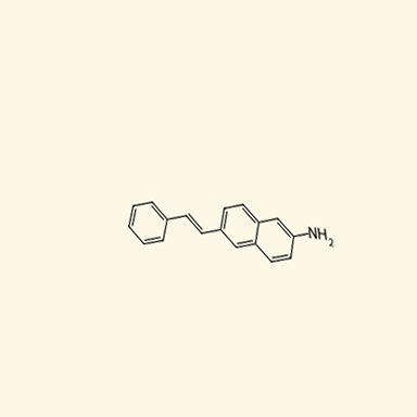 Nc1ccc2cc(C=Cc3ccccc3)ccc2c1